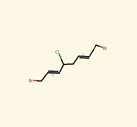 ClC(/C=C/CBr)C/C=C/CBr